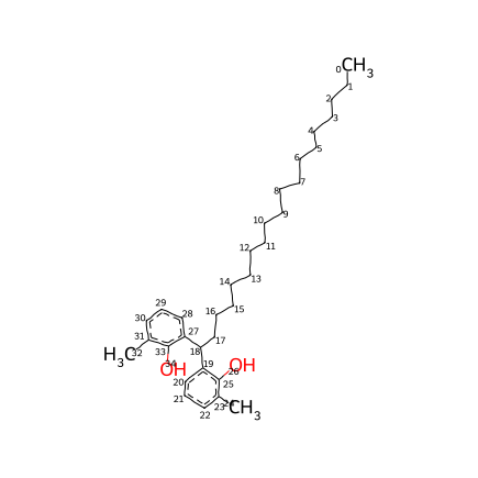 CCCCCCCCCCCCCCCCCCC(c1cccc(C)c1O)c1cccc(C)c1O